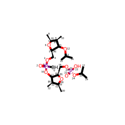 BP(=O)(OC[C@H]1O[C@@H](C)[C@@H](C)C1OC(C)C)OC1[C@@H](COP(=O)(O)OC(C)C)O[C@@H](C)[C@H]1C